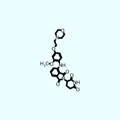 COc1cc(OCCN2CCOCC2)ccc1Nc1cccc2c1C(=O)N(C1CCC(=O)NC1=O)C2=O